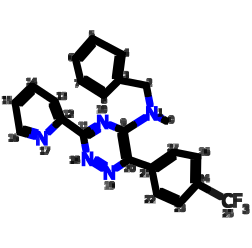 CN(Cc1ccccc1)c1nc(-c2ccccn2)nnc1-c1ccc(C(F)(F)F)cc1